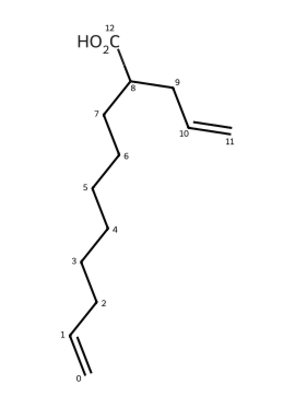 C=CCCCCCCC(CC=C)C(=O)O